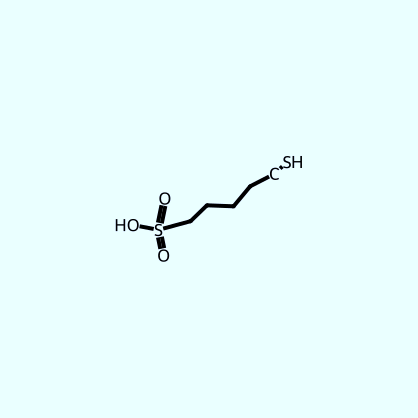 O=S(=O)(O)CCCCCS